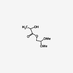 COC(COC(=O)C(C)O)OC